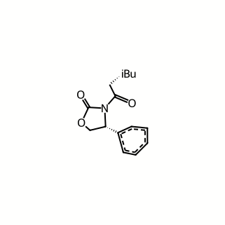 CC[C@@H](C)CC(=O)N1C(=O)OC[C@H]1c1ccccc1